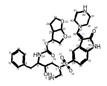 CC(C)CN(CC(O)C(Cc1ccccc1)NC(=O)OC1COC2OCCC12)S(=O)(=O)c1ccc2c(c1)/C(=C/N1CCNCC1)C(=O)N2